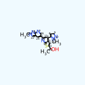 CC(O)c1cc2c(-c3ccnn3C)cc(-c3cnc4nn(C)cc4c3)nc2s1